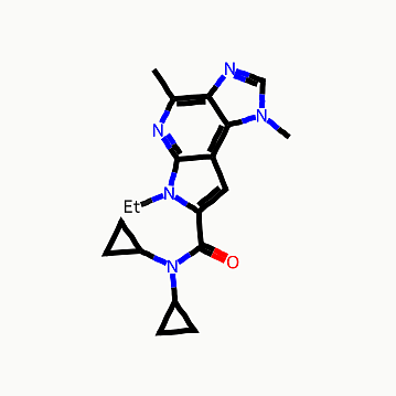 CCn1c(C(=O)N(C2CC2)C2CC2)cc2c3c(ncn3C)c(C)nc21